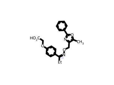 CC/C(=N/OCc1nc(-c2ccccc2)oc1C)c1ccc(OCC(=O)O)cc1